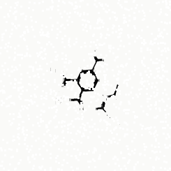 CCN=C(N)N.O=C(O)c1ccc(C(=O)O)c(C(=O)O)c1